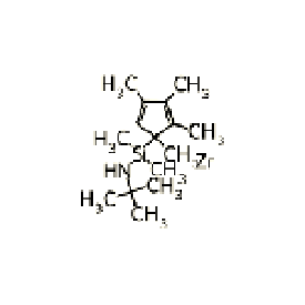 CC1=CC(C)([Si](C)(C)NC(C)(C)C)C(C)=C1C.[Zr]